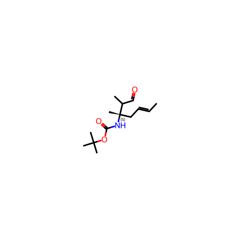 CC=CC[C@](C)(NC(=O)OC(C)(C)C)C(C)C=O